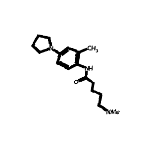 CNCCCCC(=O)Nc1ccc(N2CCCC2)cc1C